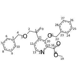 C=C(COCc1ccccc1)c1ccnc(C(=O)OC)c1OCc1ccccc1